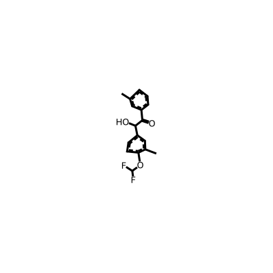 Cc1cccc(C(=O)C(O)c2ccc(OC(F)F)c(C)c2)c1